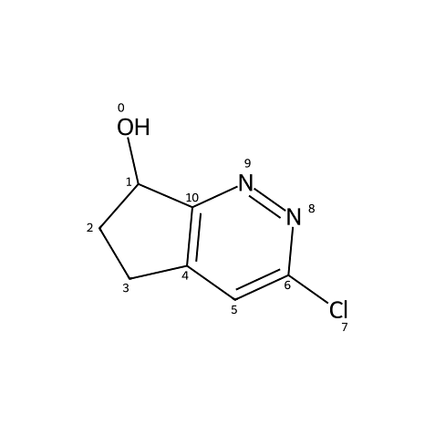 OC1CCc2cc(Cl)nnc21